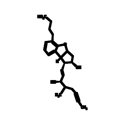 CC#CCC(C)[C@H](O)/C=C/[C@H]1[C@H](O)CC2Oc3c(CCCC(=O)O)cccc3[C@@H]21